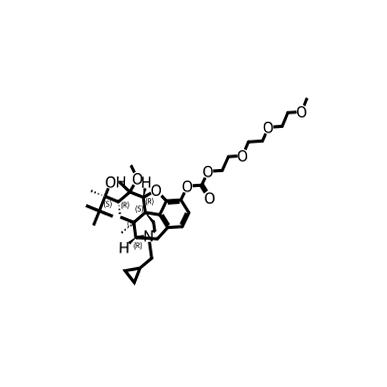 COCCOCCOCCOC(=O)Oc1ccc2c3c1O[C@H]1C(C)(OC)[C@@H]([C@](C)(O)C(C)(C)C)C[C@]4(C)[C@@H](C2)N(CC2CC2)CC[C@]314